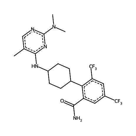 Cc1cnc(N(C)C)nc1NC1CCC(c2c(C(N)=O)cc(C(F)(F)F)cc2C(F)(F)F)CC1